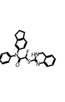 O=C(C(F)SC1=Nc2ccccc2CN1)N(c1ccccc1)c1ccc2c(c1)CCC2